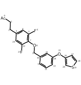 CC(=O)CCc1cc(F)c(OCc2cccc(Oc3ccsc3)c2)c(F)c1